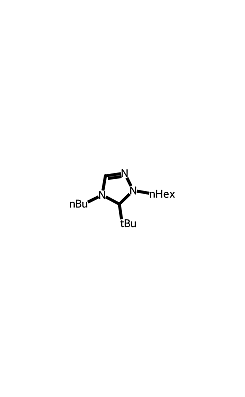 CCCCCCN1N=CN(CCCC)C1C(C)(C)C